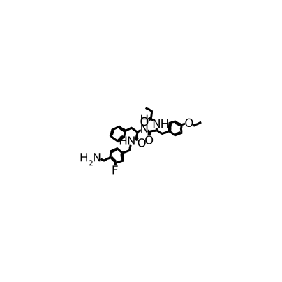 CCOc1ccc(CC(NC(=O)CC)C(=O)NC(Cc2ccccc2)C(=O)NCc2ccc(CN)c(F)c2)cc1